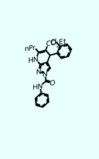 CCCC1=C(C(=O)OCC)C(c2ccccc2Cl)c2cn(C(=O)Nc3ccccc3)nc2N1